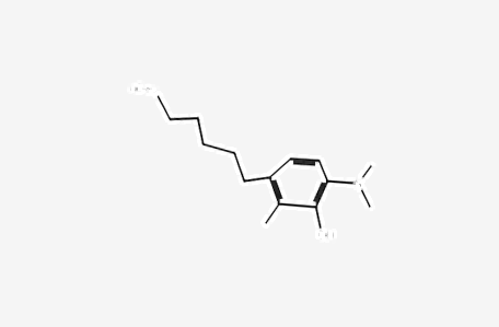 CCCCCCCCCCCCCCCc1ccc(N(C)C)c(O)c1C